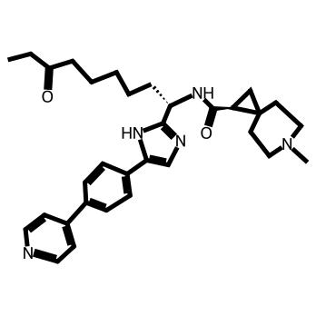 CCC(=O)CCCCC[C@H](NC(=O)[C@H]1CC12CCN(C)CC2)c1ncc(-c2ccc(-c3ccncc3)cc2)[nH]1